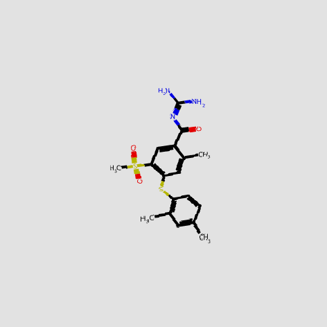 Cc1ccc(Sc2cc(C)c(C(=O)N=C(N)N)cc2S(C)(=O)=O)c(C)c1